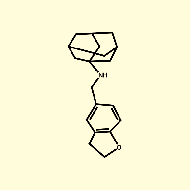 c1cc2c(cc1CNC13CC4CC(CC(C4)C1)C3)CCO2